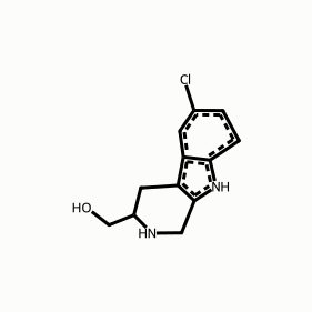 OCC1Cc2c([nH]c3ccc(Cl)cc23)CN1